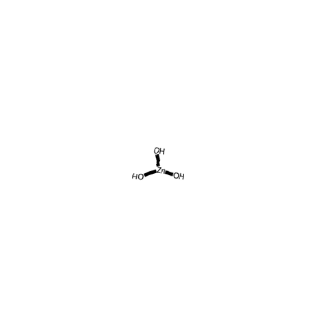 [OH][Zn]([OH])[OH]